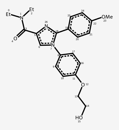 CCN(CC)C(=O)c1cn(-c2ccc(OCCO)cc2)c(-c2ccc(OC)cc2)n1